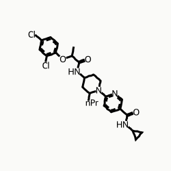 CCCC1CC(NC(=O)C(C)Oc2ccc(Cl)cc2Cl)CCN1c1ccc(C(=O)NC2CC2)cn1